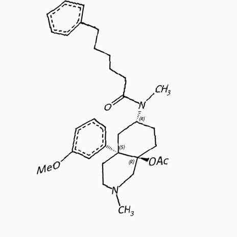 COc1cccc([C@@]23CCN(C)C[C@@]2(OC(C)=O)CC[C@@H](N(C)C(=O)CCCCCc2ccccc2)C3)c1